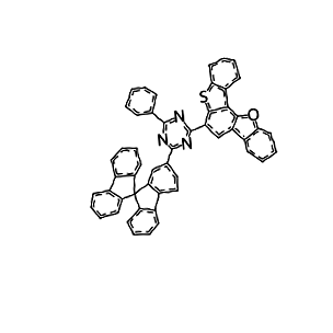 c1ccc(-c2nc(-c3ccc4c(c3)C3(c5ccccc5-c5ccccc53)c3ccccc3-4)nc(-c3cc4c5ccccc5oc4c4c3sc3ccccc34)n2)cc1